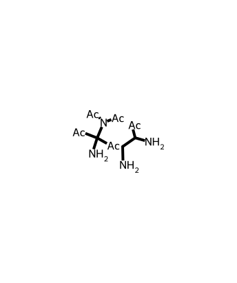 CC(=O)C(N)CN.CC(=O)N(C(C)=O)C(N)(C(C)=O)C(C)=O